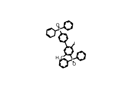 Cc1cc(-c2ccc(P(=O)(c3ccccc3)C3C=CC=CC3)cc2)c(I)cc1P(=O)(c1ccccc1)c1ccccc1